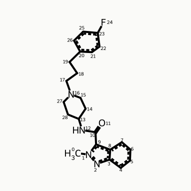 Cn1nc2ccccc2c1C(=O)NC1CCN(CCCc2ccc(F)cc2)CC1